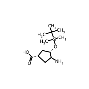 CC(C)(C)[Si](C)(C)O[C@H]1C[C@@H](C(=O)O)CC1N